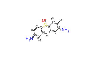 Cc1c(N)ccc([S+]([O-])c2ccc(N)c(C)c2C)c1C